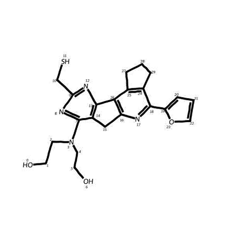 OCCN(CCO)c1nc(CS)nc2c1Cc1nc(-c3ccco3)c3c(c1-2)CCC3